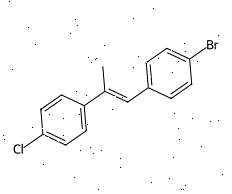 C/C(=C\c1ccc(Br)cc1)c1ccc(Cl)cc1